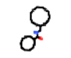 O=C(NCC1CCCCCCCCCCCC1)C1CCCCCCCCC1